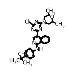 CC1CN(c2nc(Cl)nc(-c3cnc(Nc4ccc(C(C)(C)C)cc4)c4ccccc34)n2)CC(C)O1